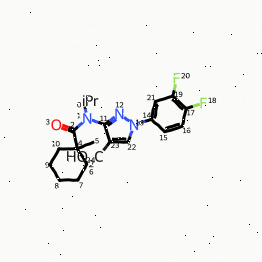 CC(C)N(C(=O)C1(C)CCCCC1)c1nn(-c2ccc(F)c(F)c2)cc1C(=O)O